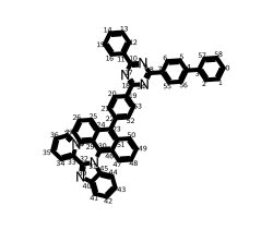 c1ccc(-c2ccc(-c3nc(-c4ccccc4)nc(-c4ccc(-c5c6ccccc6c(-n6c(-c7ccccn7)nc7ccccc76)c6ccccc56)cc4)n3)cc2)cc1